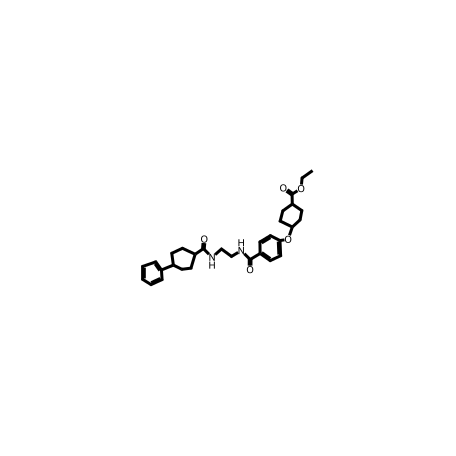 CCOC(=O)C1CCC(Oc2ccc(C(=O)NCCNC(=O)C3CCC(c4ccccc4)CC3)cc2)CC1